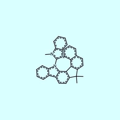 Cn1c(-n2c3ccccc3c3ccc4c(c32)-c2c(ccc3ccccc23)C4(C)C)nc2ccccc21